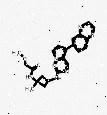 COCC(=O)NC1(C)CC(Nc2ncc3c(-c4ccc5nccnc5c4)ccn3n2)C1